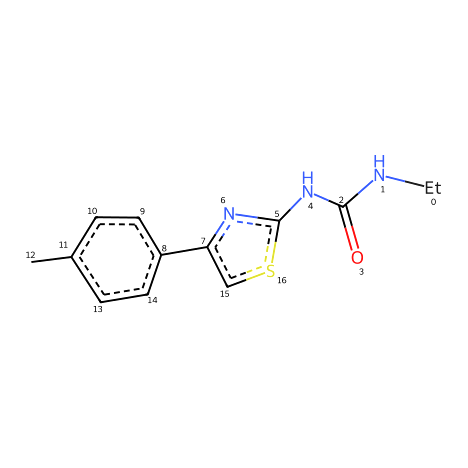 CCNC(=O)Nc1nc(-c2ccc(C)cc2)cs1